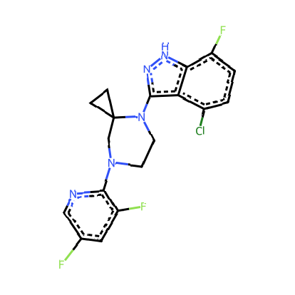 Fc1cnc(N2CCN(c3n[nH]c4c(F)ccc(Cl)c34)C3(CC3)C2)c(F)c1